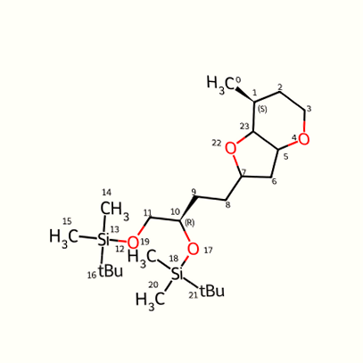 C[C@H]1CCOC2CC(CC[C@H](CO[Si](C)(C)C(C)(C)C)O[Si](C)(C)C(C)(C)C)OC21